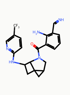 N=Cc1cccc(C(=O)N2CC3CC34CC(Nc3ccc(C(F)(F)F)cn3)C24)c1N